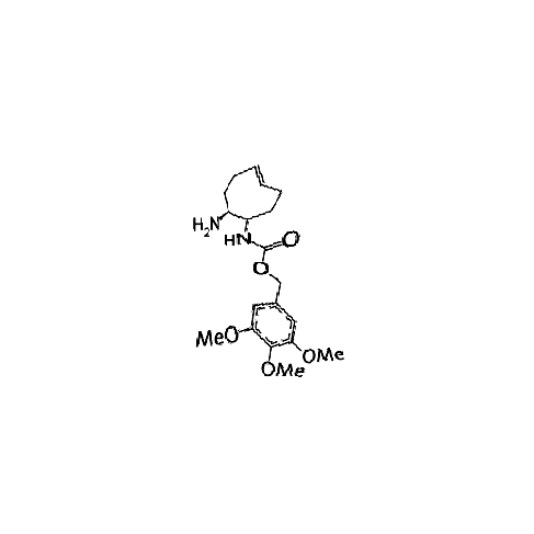 COc1cc(COC(=O)NC2CC/C=C/CC[C@@H]2N)cc(OC)c1OC